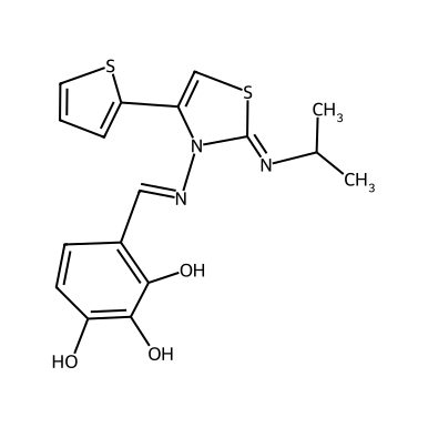 CC(C)/N=c1\scc(-c2cccs2)n1/N=C/c1ccc(O)c(O)c1O